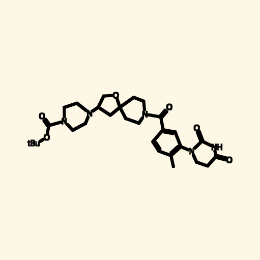 Cc1ccc(C(=O)N2CCC3(CC2)CC(N2CCN(C(=O)OC(C)(C)C)CC2)CO3)cc1N1CCC(=O)NC1=O